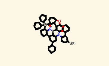 CC(C)(C)c1ccc(N2c3cc(-c4ccccc4)cc4c3B(c3c2ccc2oc5ccccc5c32)N2c3ccccc3[Si](c3ccccc3)(c3ccccc3)c3cccc-4c32)c(-c2ccccc2)c1